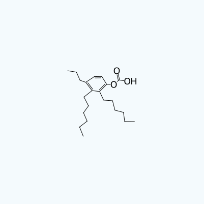 CCCCCCc1c(CCC)ccc(OC(=O)O)c1CCCCCC